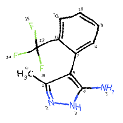 Cc1n[nH]c(N)c1-c1ccccc1C(F)(F)F